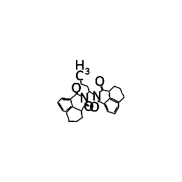 CCCC(N1C(=O)c2cccc3c2C(CCC3)C1=O)N1C(=O)c2cccc3c2C(CCC3)C1=O